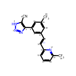 N#Cc1[nH]nnc1-c1cc(/C=C/c2cccc(C(F)(F)F)n2)cc(C(F)(F)F)c1